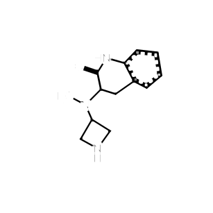 CN(C1CNC1)C1Cc2ccccc2NC1=O